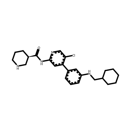 O=C(Nc1cc(-c2cccc(NCC3CCCCC3)c2)c(Cl)cn1)[C@@H]1CCCNC1